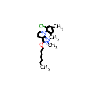 CCCCCCCOc1c2c(nn1C)N(c1c(C)cc(C)cc1Cl)CCC2